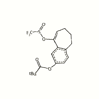 CC(C)(C)C(=O)Oc1ccc2c(c1)C(OS(=O)C(F)(F)F)=CCCC2